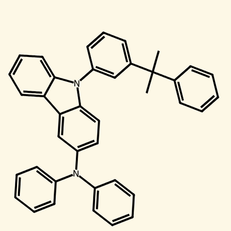 CC(C)(c1ccccc1)c1cccc(-n2c3ccccc3c3cc(N(c4ccccc4)c4ccccc4)ccc32)c1